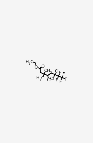 CCOC(=O)CC(C)(C)C(Cl)CC(Cl)(Cl)C(F)(F)C(F)(F)F